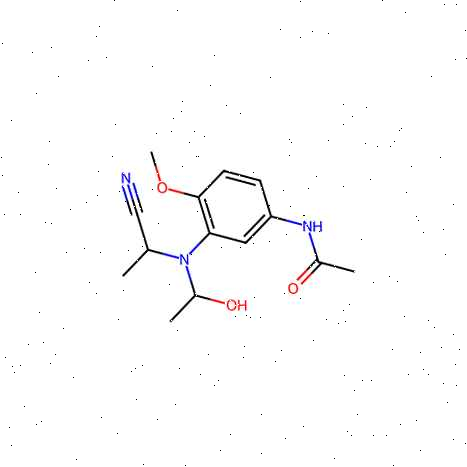 COc1ccc(NC(C)=O)cc1N(C(C)O)C(C)C#N